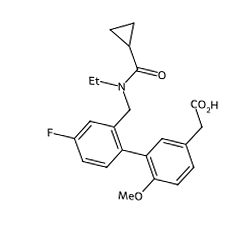 CCN(Cc1cc(F)ccc1-c1cc(CC(=O)O)ccc1OC)C(=O)C1CC1